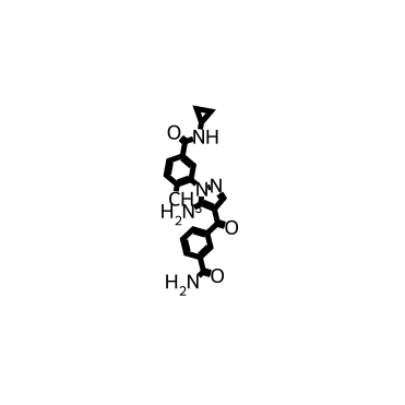 Cc1ccc(C(=O)NC2CC2)cc1-n1ncc(C(=O)c2cccc(C(N)=O)c2)c1N